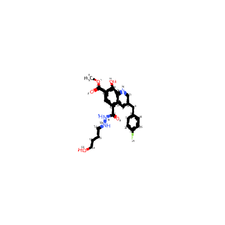 COC(=O)c1cc(C(=O)NNCCCCO)c2cc(Cc3ccc(F)cc3)cnc2c1O